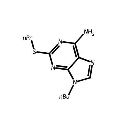 CCCCn1cnc2c(N)nc(SCCC)nc21